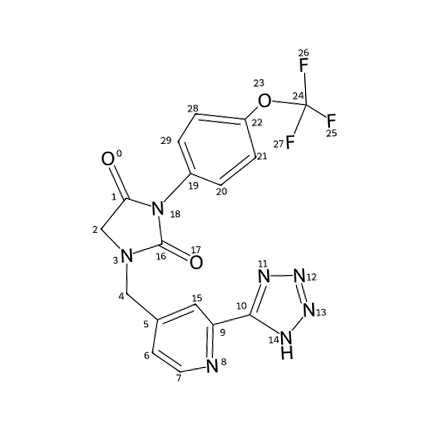 O=C1CN(Cc2ccnc(-c3nnn[nH]3)c2)C(=O)N1c1ccc(OC(F)(F)F)cc1